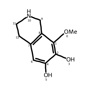 COc1c(O)c(O)cc2c1CNCC2